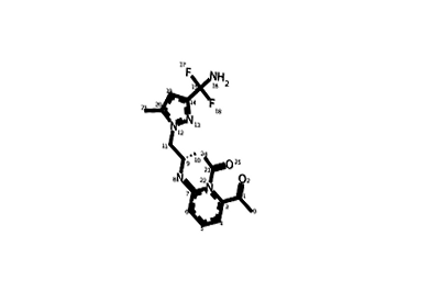 CC(=O)c1ccc/c(=N/[C@@H](C)Cn2nc(C(N)(F)F)cc2C)n1C(C)=O